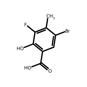 Cc1c(Br)cc(C(=O)O)c(O)c1F